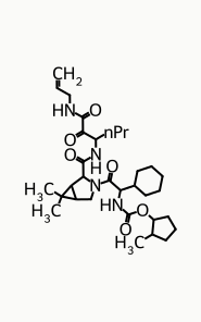 C=CCNC(=O)C(=O)C(CCC)NC(=O)C1C2C(CN1C(=O)C(NC(=O)OC1CCCC1C)C1CCCCC1)C2(C)C